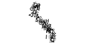 COc1cc2c(cc1OCc1cccc(CC(=O)Nc3cc(C(=O)Nc4nc5cc(C(=O)Nc6ccccc6)ccc5s4)n(C)c3)c1)N=C[C@@H]1CCCCN1C2=O